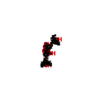 CCC(C)(C)c1cc(CSC2CCC(C(=O)OC(=O)C3CCC(SCc4cc(C(C)(C)CC)c(O)c(C(C)(C)CC)c4)CC3C(=O)O)C(C(=O)O)C2)cc(C(C)(C)CC)c1O